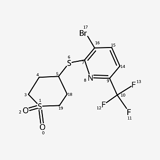 O=S1(=O)CCC(Sc2nc(C(F)(F)F)ccc2Br)CC1